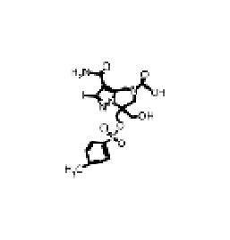 Cc1ccc(S(=O)(=O)OCC2(CO)CN(C(=O)O)Cc3c(C(N)=O)c(I)nn32)cc1